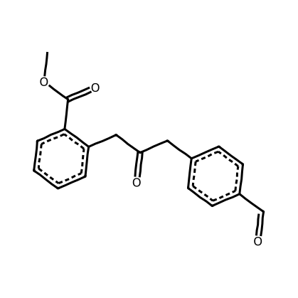 COC(=O)c1ccccc1CC(=O)Cc1ccc(C=O)cc1